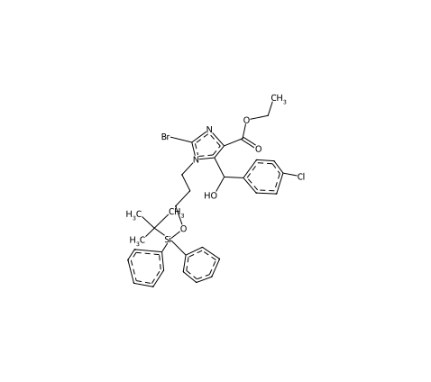 CCOC(=O)c1nc(Br)n(CCCO[Si](c2ccccc2)(c2ccccc2)C(C)(C)C)c1C(O)c1ccc(Cl)cc1